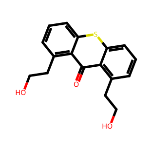 O=c1c2c(CCO)cccc2sc2cccc(CCO)c12